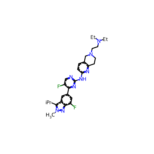 CCN(CC)CCN1CCc2nc(Nc3ncc(F)c(-c4cc(F)c5nn(C)c(C(C)C)c5c4)n3)ccc2C1